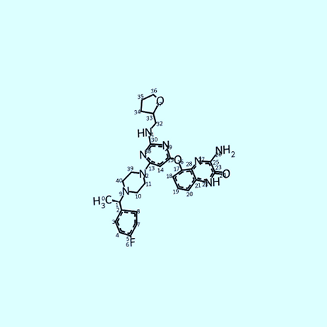 C[C@H](c1ccc(F)cc1)N1CCN(c2cc(Oc3cccc4[nH]c(=O)c(N)nc34)nc(NCC3CCCO3)n2)CC1